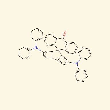 O=C1c2ccccc2C2(c3ccccc31)c1cc(N(c3ccccc3)c3ccccc3)ccc1-c1ccc(N(c3ccccc3)c3ccccc3)cc12